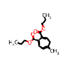 CCCOC(=O)C1=CC=C(C)CC=C1C(=O)OCCC